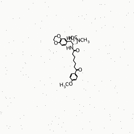 COc1ccc(C(=O)CCCCCC(=O)N[C@@H](CN(C)C)[C@@H](O)c2ccc3c(c2)OCCO3)cc1